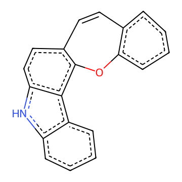 C1=Cc2ccc3[nH]c4ccccc4c3c2Oc2ccccc21